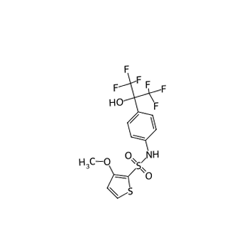 COc1ccsc1S(=O)(=O)Nc1ccc(C(O)(C(F)(F)F)C(F)(F)F)cc1